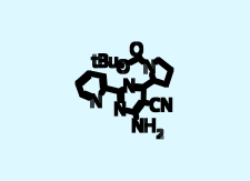 CC(C)(C)OC(=O)N1CCCC1c1nc(-c2ccccn2)nc(N)c1C#N